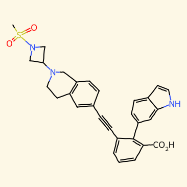 CS(=O)(=O)N1CC(N2CCc3cc(C#Cc4cccc(C(=O)O)c4-c4ccc5cc[nH]c5c4)ccc3C2)C1